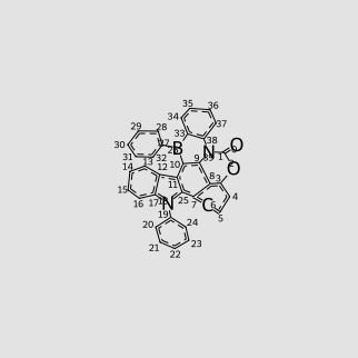 O=C1Oc2cccc3c2c2c(c4c5ccccc5n(-c5ccccc5)c34)B(c3ccccc3)c3ccccc3N12